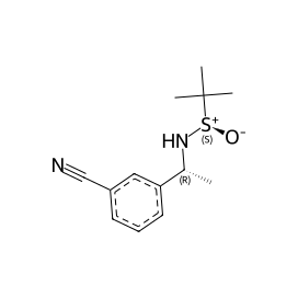 C[C@@H](N[S@+]([O-])C(C)(C)C)c1cccc(C#N)c1